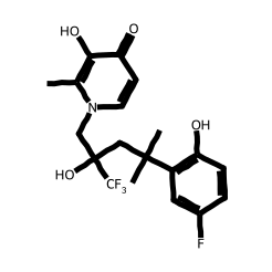 Cc1c(O)c(=O)ccn1CC(O)(CC(C)(C)c1cc(F)ccc1O)C(F)(F)F